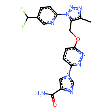 Cc1nnn(-c2ccc(C(F)F)cn2)c1COc1ccc(-n2cnc(C(N)=O)c2)nn1